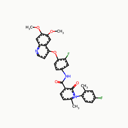 COc1cc2nccc(Oc3ccc(NC(=O)c4ccc(C)n(-c5ccc(F)cc5C)c4=O)cc3F)c2cc1OC